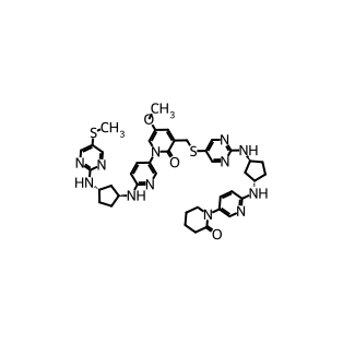 COc1cc(CSc2cnc(N[C@H]3CC[C@H](Nc4ccc(N5CCCCC5=O)cn4)C3)nc2)c(=O)n(-c2ccc(N[C@H]3CC[C@H](Nc4ncc(SC)cn4)C3)nc2)c1